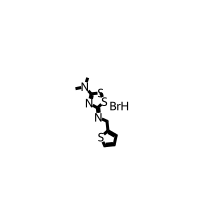 Br.CN(C)c1n/c(=N/Cc2cccs2)ss1